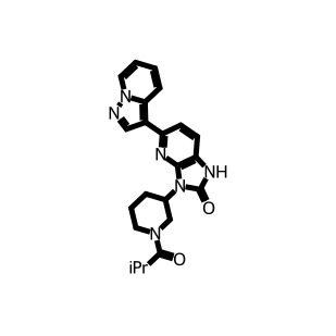 CC(C)C(=O)N1CCCC(n2c(=O)[nH]c3ccc(-c4cnn5ccccc45)nc32)C1